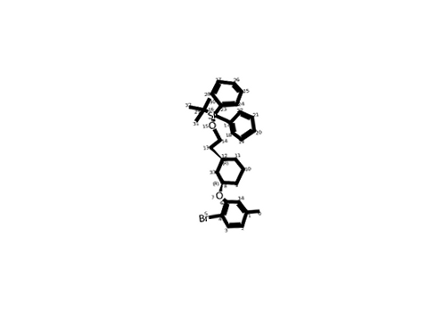 Cc1ccc(Br)c(O[C@@H]2CCC[C@H](CCO[Si](c3ccccc3)(c3ccccc3)C(C)(C)C)C2)c1